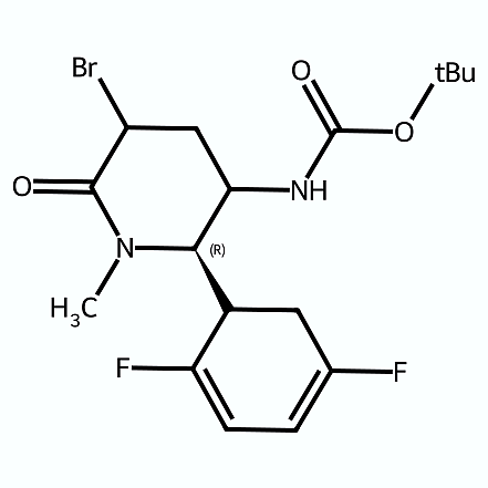 CN1C(=O)C(Br)CC(NC(=O)OC(C)(C)C)[C@H]1C1CC(F)=CC=C1F